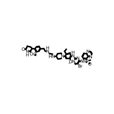 CCc1cc(Nc2ncc(Br)c(Nc3ccc4nccnc4c3P(C)(C)=O)n2)c(OC)cc1N1CCC(NCCNCCc2ccc(C3CCC(=O)NC3=O)c(OC)c2)CC1